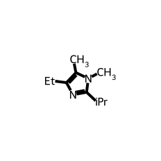 CCc1nc(C(C)C)n(C)c1C